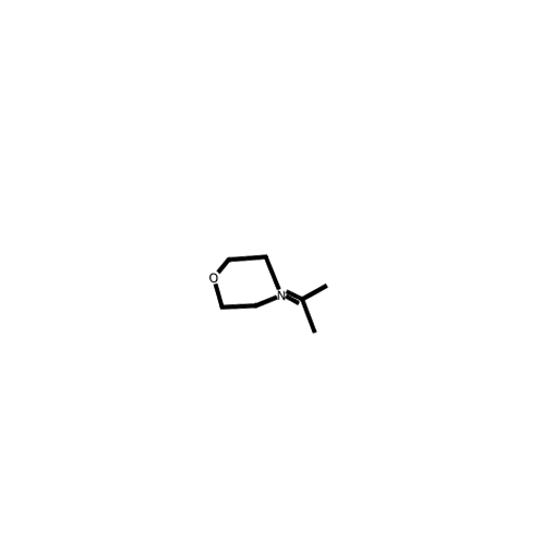 CC(C)=[N+]1CCOCC1